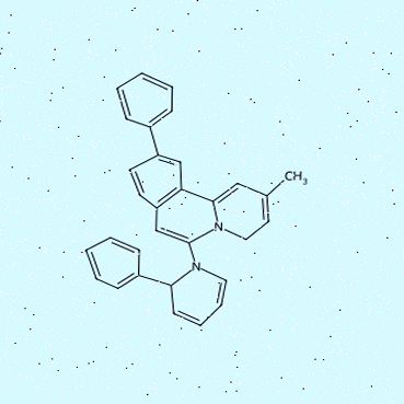 CC1=CCN2C(=C1)c1cc(-c3ccccc3)ccc1C=C2N1C=CC=CC1c1ccccc1